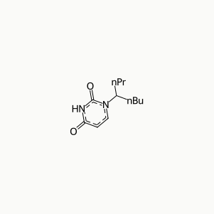 CCCCC(CCC)n1ccc(=O)[nH]c1=O